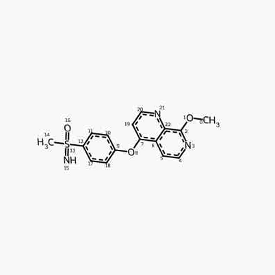 COc1nccc2c(Oc3ccc(S(C)(=N)=O)cc3)ccnc12